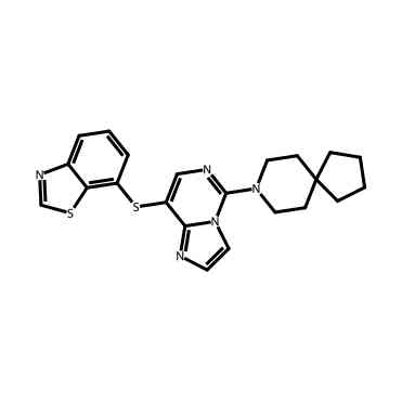 c1cc(Sc2cnc(N3CCC4(CCCC4)CC3)n3ccnc23)c2scnc2c1